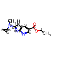 CCOC(=O)c1cnc2c(c1)BC(N(C)C1CC1)=N2